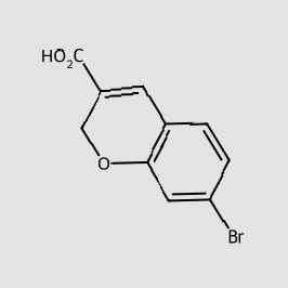 O=C(O)C1=Cc2ccc(Br)cc2OC1